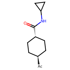 CC(=O)[C@H]1CC[C@H](C(=O)NC2CC2)CC1